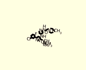 CN1CCCN(CC(=O)Nc2cc(Nc3cc(-c4cc(Cl)ccc4F)nnc3CO[Si](C)(C)C(C)(C)C)ccn2)CC1